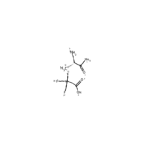 C[C@H](N)C(N)=O.O=C(O)C(F)(F)F